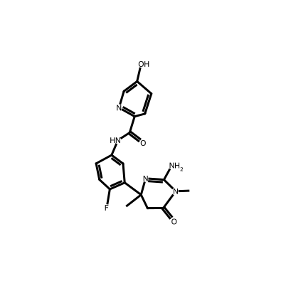 CN1C(=O)CC(C)(c2cc(NC(=O)c3ccc(O)cn3)ccc2F)N=C1N